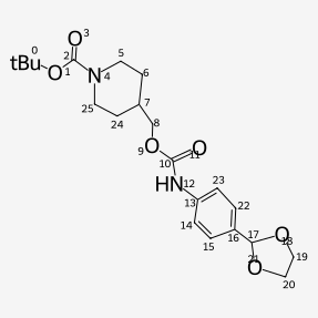 CC(C)(C)OC(=O)N1CCC(COC(=O)Nc2ccc(C3OCCO3)cc2)CC1